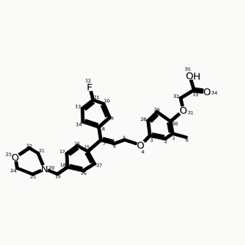 Cc1cc(OC/C=C(\c2ccc(F)cc2)c2ccc(CN3CCOCC3)cc2)ccc1OCC(=O)O